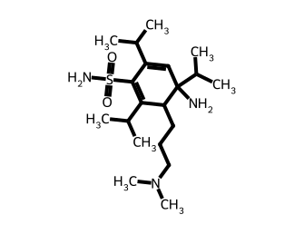 CC(C)C1=CC(N)(C(C)C)C(CCCN(C)C)C(C(C)C)=C1S(N)(=O)=O